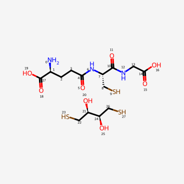 N[C@@H](CCC(=O)N[C@@H](CS)C(=O)NCC(=O)O)C(=O)O.O[C@H](CS)[C@H](O)CS